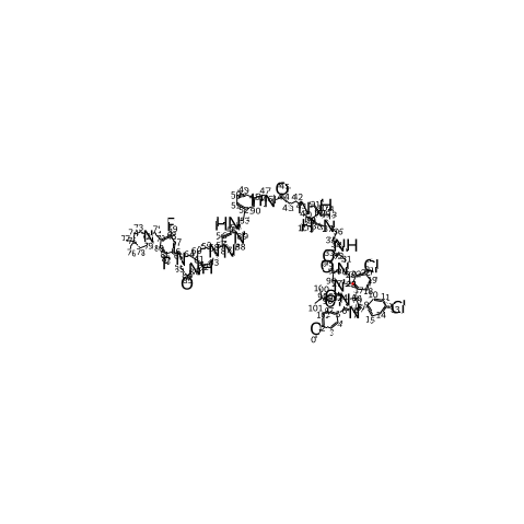 COc1ccc(C2=N[C@@H](c3ccc(Cl)cc3)[C@@H](c3ccc(Cl)cc3)N2C(=O)N2CCN(CC(=O)NCCN3C[C@@H]4CN(CCC(=O)NCc5cccc(CNc6cc(N7CCC8(CC7)CN(c7cc(F)c(CN9CCC(C)(C)CC9)cc7F)CC(=O)N8)ncn6)c5)C[C@@H]4C3)C(=O)C2)c(OC(C)C)c1